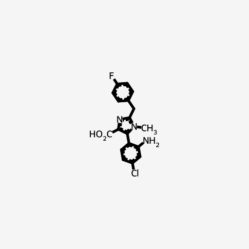 Cn1c(Cc2ccc(F)cc2)nc(C(=O)O)c1-c1ccc(Cl)cc1N